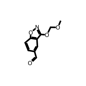 COCOc1noc2ccc(C=O)cc12